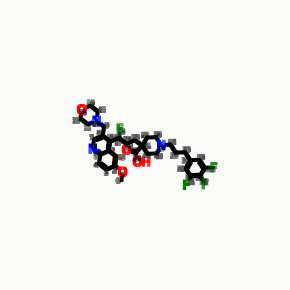 COc1ccc2ncc(CN3CCOCC3)c([C@@H](F)CCC3(C(=O)O)CCN(CCCc4cc(F)c(F)c(F)c4)CC3)c2c1